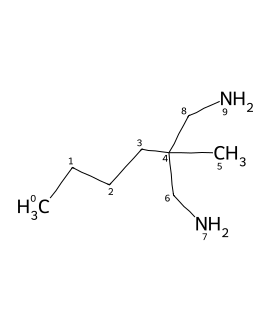 CCCCC(C)(CN)CN